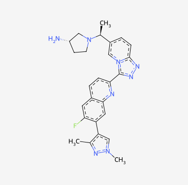 Cc1nn(C)cc1-c1cc2nc(-c3nnc4ccc([C@H](C)N5CC[C@H](N)C5)cn34)ccc2cc1F